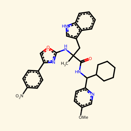 COc1ccc(C(NC(=O)C(C)(Cc2c[nH]c3ccccc23)Nc2nc(-c3ccc([N+](=O)[O-])cc3)co2)C2CCCCC2)nc1